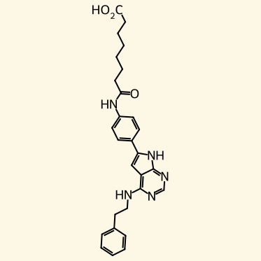 O=C(O)CCCCCCC(=O)Nc1ccc(-c2cc3c(NCCc4ccccc4)ncnc3[nH]2)cc1